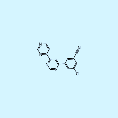 N#Cc1cc(Cl)cc(-c2cc(-c3ccncn3)ncn2)c1